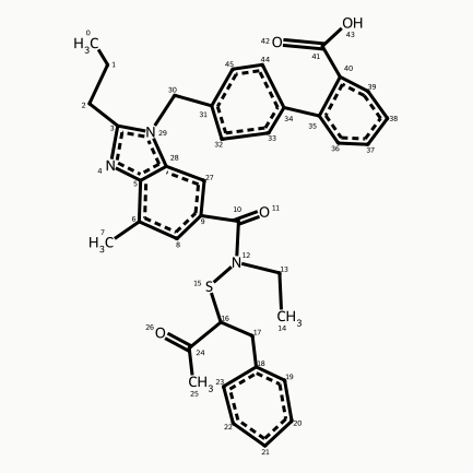 CCCc1nc2c(C)cc(C(=O)N(CC)SC(Cc3ccccc3)C(C)=O)cc2n1Cc1ccc(-c2ccccc2C(=O)O)cc1